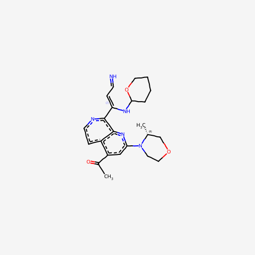 CC(=O)c1cc(N2CCOC[C@H]2C)nc2c(/C(=C/C=N)NC3CCCCO3)nccc12